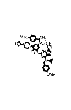 COc1ccc(CN(c2nc(Nc3cc(N(C(=O)O)C(C)c4ccc(OC)cc4)cc(N4CCN(C5COC5)CC4)c3F)nn3c(C#N)cnc23)C2CC2)cc1